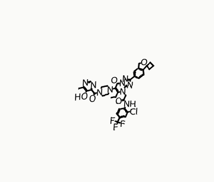 CCc1c(N2CCN(C(=O)c3ncnc(C)c3O)CC2)c(=O)n2nc(-c3ccc4c(c3)COC43CCC3)nc2n1CC(=O)Nc1ccc(C(F)(F)F)cc1Cl